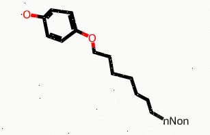 CCCCCCCCCCCCCCCCOc1ccc([O])cc1